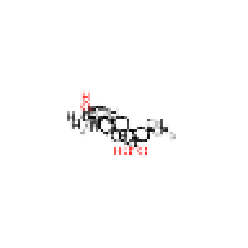 CC1(C)CC[C@]2(C(=O)O)CCC3C(=C2C1)CC[C@@H]1[C@@]2(C)CC[C@H](O)C(C)(C)[C@@H]2CC[C@@]31C